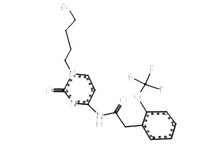 O=C(Cc1ccccc1OC(F)(F)F)Nc1ccn(CCCCBr)c(=O)n1